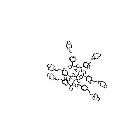 O=C(OC[C@H](OC(=O)c1ccc(CCN2CCOCC2)nc1)[C@@H](OC(=O)c1ccc(CCN2CCOCC2)nc1)[C@H](OC(=O)c1ccc(CCN2CCOCC2)nc1)[C@@H](COC(=O)c1ccc(CCN2CCOCC2)nc1)OC(=O)c1ccc(CCN2CCOCC2)nc1)c1ccc(CCN2CCOCC2)nc1